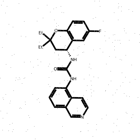 CCC1(CC)C[C@@H](NC(=O)Nc2cccc3cnccc23)c2cc(F)ccc2O1